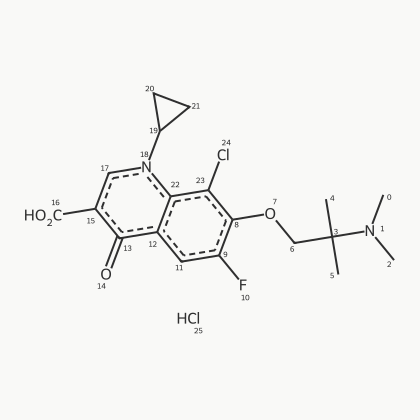 CN(C)C(C)(C)COc1c(F)cc2c(=O)c(C(=O)O)cn(C3CC3)c2c1Cl.Cl